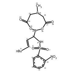 CCCCC=CC(NS(=O)(=O)c1ccccc1[N+](=O)[O-])B1OC(=O)CN(C)CC(=O)O1